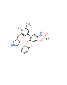 CCS(=O)(=O)Nc1ccc(Oc2ccc(F)cc2F)c(-c2cc(C)[n+]([O-])c(O[C@H]3CCNC3)c2)c1